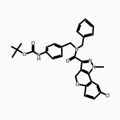 Cn1nc(C(=O)N(Cc2ccccc2)Cc2ccc(NC(=O)OC(C)(C)C)cc2)c2c1-c1cc(Cl)ccc1OC2